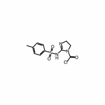 Cc1ccc(S(=O)(=O)NC2=NCCN2C(=O)Cl)cc1